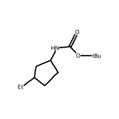 CCC1CCC(NC(=O)OC(C)(C)C)C1